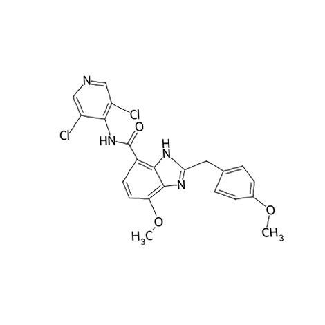 COc1ccc(Cc2nc3c(OC)ccc(C(=O)Nc4c(Cl)cncc4Cl)c3[nH]2)cc1